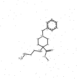 BNCCNC1(C(=O)OC)CCN(Cc2ccccc2)CC1